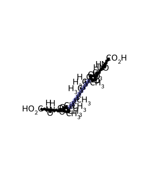 CC1=C(/C=C/C(C)=C/C=C/C(C)=C/C=C/C=C(C)/C=C/C=C(C)/C=C/C2=C(C)C(=O)C(OC(=O)CCCNC(=O)NCCCC(=O)O)CC2(C)C)C(C)(C)CC(OC(=O)CCCNC(=O)NCCCC(=O)O)C1=O